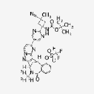 [2H]C([2H])([2H])N1C(=O)c2cccc(OS(=O)(=O)C(F)(F)F)c2[C@H]2C[C@@H]1c1nn3ccc(-c4cnc(C5(NC(=O)OC(C)(C)C)CC(C)(C#N)C5)nc4)nc3c12